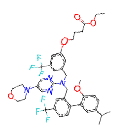 CCOC(=O)CCCOc1cc(CN(Cc2cc(C(F)(F)F)ccc2-c2cc(C(C)C)ccc2OC)c2ncc(N3CCOCC3)cn2)cc(C(F)(F)F)c1